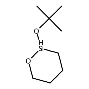 CC(C)(C)O[SiH]1CCCCO1